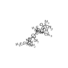 CCOc1nc(N)nc2c1ncn2C1OC(COP(=O)(NC(COC(=O)C(C)C)CC(C)C)OC)CC1C